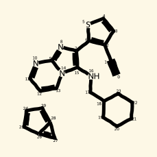 C#Cc1ccsc1-c1nc2ncccn2c1NCC1CCCCC1.c1cc2cc-2c1